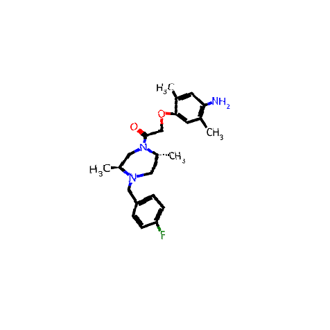 Cc1cc(OCC(=O)N2C[C@H](C)N(Cc3ccc(F)cc3)C[C@H]2C)c(C)cc1N